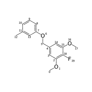 COc1cc(COc2cccc(C)c2)cc(OC)c1F